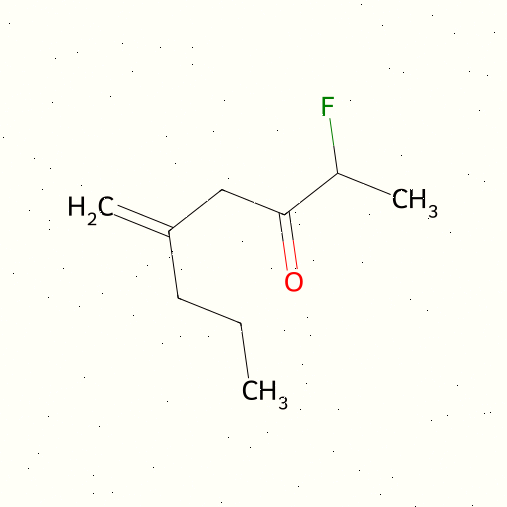 C=C(CCC)CC(=O)C(C)F